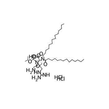 CCCCCCCCCCCCCC(=O)N(C(=O)CCCCCCCCCCCCC)[C@](CCCNC(=N)N)(C(=O)O)N(C(=O)CN)C(=O)OC(C)C.Cl.Cl